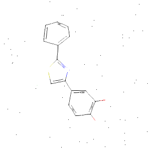 Cl.Oc1ccc(-c2csc(-c3ccccc3)n2)cc1O